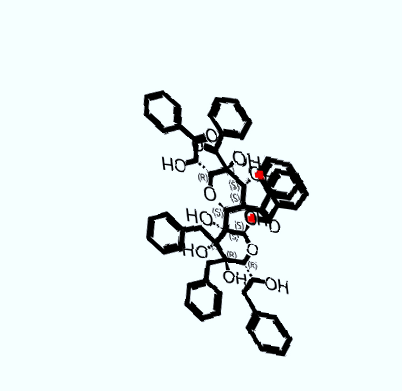 O=C(c1ccccc1)C(O)[C@H]1O[C@@H]([C@@]2(O)[C@@H](OCc3ccccc3)O[C@H](C(O)Cc3ccccc3)[C@](O)(Cc3ccccc3)[C@@]2(O)Cc2ccccc2)[C@](O)(C(=O)c2ccccc2)[C@@H](O)[C@@]1(O)C(=O)c1ccccc1